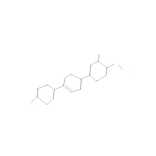 CCC1CCC(C2=CCC(C3CCC(OC(F)(F)F)C(F)C3)CC2)CC1